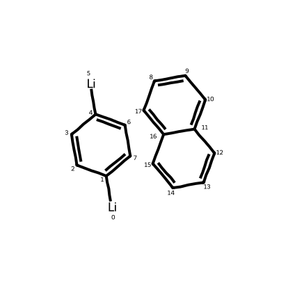 [Li][c]1cc[c]([Li])cc1.c1ccc2ccccc2c1